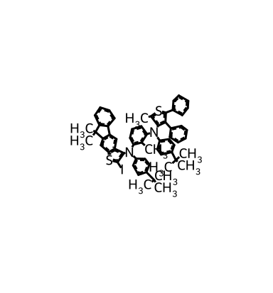 Cc1sc(-c2ccccc2)c(-c2ccccc2)c1N(c1ccc(C(C)(C)C)cc1)c1cccc(N(c2ccc(C(C)(C)C)cc2)c2c(I)sc3cc4c(cc23)-c2ccccc2C4(C)C)c1C